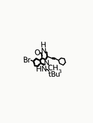 CC(Nc1nc2c(C#CC3CCCCC3)c[nH]c(=O)c2c2cc(Br)ccc12)C(C)(C)C